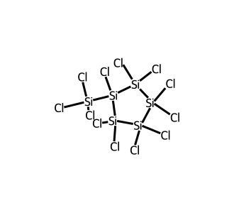 Cl[Si](Cl)(Cl)[Si]1(Cl)[Si](Cl)(Cl)[Si](Cl)(Cl)[Si](Cl)(Cl)[Si]1(Cl)Cl